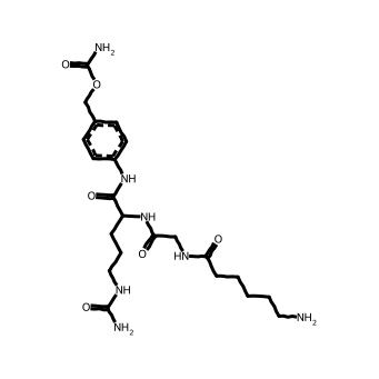 NCCCCCC(=O)NCC(=O)NC(CCCNC(N)=O)C(=O)Nc1ccc(COC(N)=O)cc1